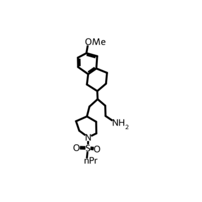 CCCS(=O)(=O)N1CCC(CC(CCN)C2CCc3cc(OC)ccc3C2)CC1